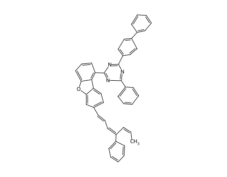 C\C=C/C(=C\C=C\c1ccc2c(c1)oc1cccc(-c3nc(-c4ccccc4)nc(-c4ccc(-c5ccccc5)cc4)n3)c12)c1ccccc1